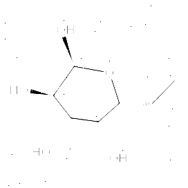 O[C@@H]1[C@@H](O)[C@@H](O)O[C@H](CI)[C@@H]1O